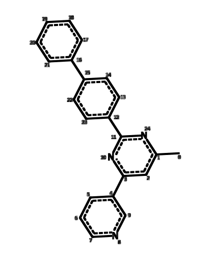 Cc1cc(-c2cccnc2)nc(-c2ccc(-c3ccccc3)cc2)n1